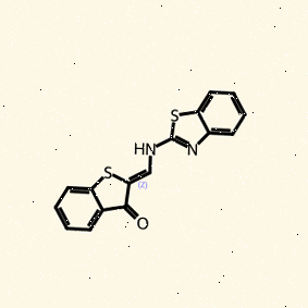 O=C1/C(=C/Nc2nc3ccccc3s2)Sc2ccccc21